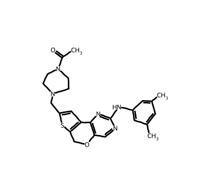 CC(=O)N1CCN(Cc2cc3c(s2)COc2cnc(Nc4cc(C)cc(C)c4)nc2-3)CC1